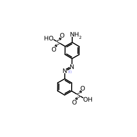 Nc1ccc(/N=N/c2cccc(S(=O)(=O)O)c2)cc1S(=O)(=O)O